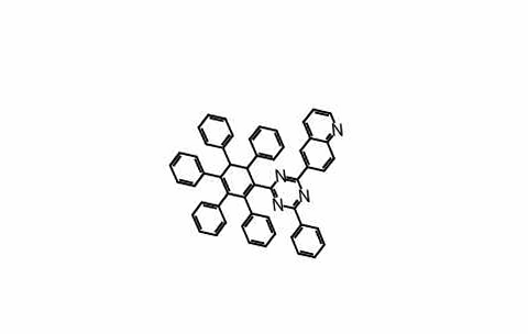 c1ccc(C2=C(c3ccccc3)C(c3ccccc3)C(c3ccccc3)C(c3nc(-c4ccccc4)nc(-c4ccc5ncccc5c4)n3)=C2c2ccccc2)cc1